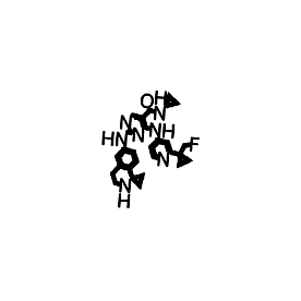 O=C(NC1CC1)c1cnc(Nc2ccc3c(c2)CCNC32CC2)nc1Nc1ccnc(C2(CF)CC2)c1